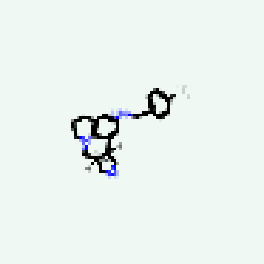 FC(F)(F)c1ccc(CNc2cc3c4c(c2)[C@@H]2CNC[C@@H]2CN4CCC3)cc1